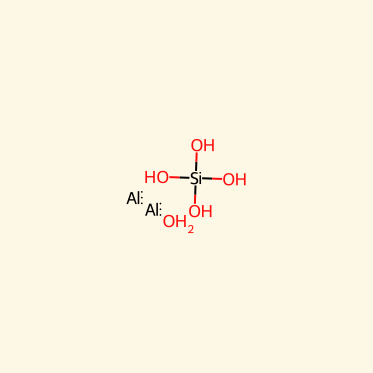 O.O[Si](O)(O)O.[Al].[Al]